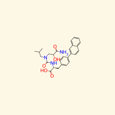 CC(C)CN(CC(O)C(N)=O)C(=O)N[C@@H](Cc1ccc(-c2ccc3ccccc3c2)cc1)C(=O)O